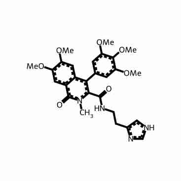 COc1cc2c(-c3cc(OC)c(OC)c(OC)c3)c(C(=O)NCCc3c[nH]cn3)n(C)c(=O)c2cc1OC